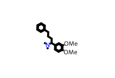 COc1ccc(C(CCCc2ccccc2)N(C)C)cc1OC